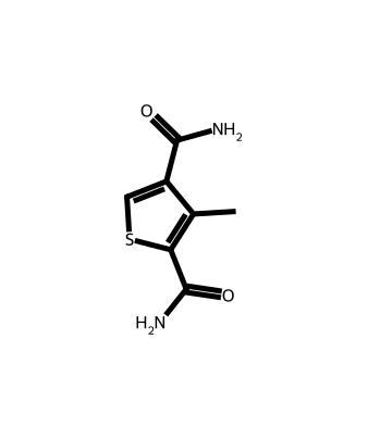 Cc1c(C(N)=O)csc1C(N)=O